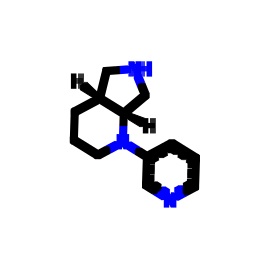 c1cncc(N2CCC[C@@H]3CNC[C@@H]32)c1